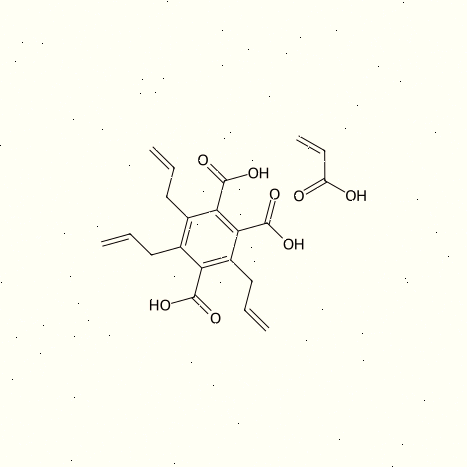 C=CC(=O)O.C=CCc1c(CC=C)c(C(=O)O)c(C(=O)O)c(CC=C)c1C(=O)O